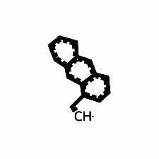 [CH]=Cc1cccc2cc3ccccc3cc12